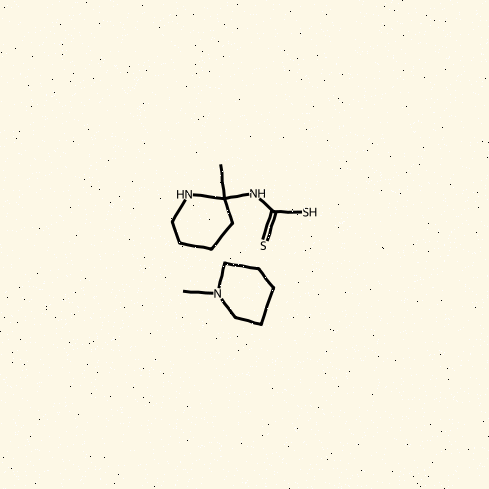 CC1(NC(=S)S)CCCCN1.CN1CCCCC1